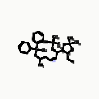 CC(C/C=C\C(O[Si](C)(C)C(C)(C)C)[C@H]1OC(C)(C)O[C@H]1CI)O[Si](c1ccccc1)(c1ccccc1)C(C)(C)C